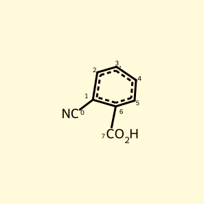 N#Cc1c[c]ccc1C(=O)O